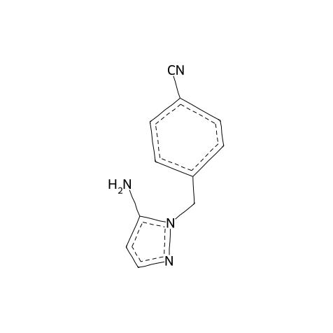 N#Cc1ccc(Cn2nccc2N)cc1